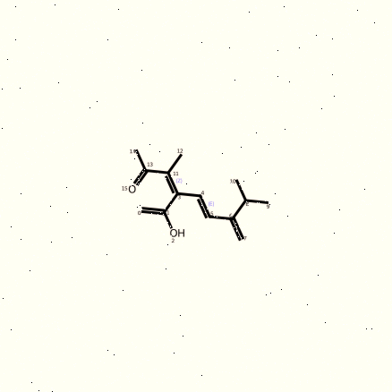 C=C(O)C(/C=C/C(=C)C(C)C)=C(/C)C(C)=O